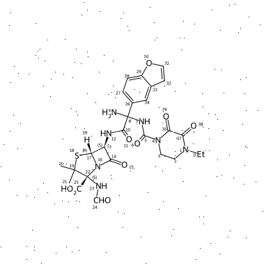 CCN1CCN(C(=O)NC(N)(C(=O)N[C@H]2C(=O)N3[C@@H]2SC(C)(C)[C@]3(NC=O)C(=O)O)c2ccc3occc3c2)C(=O)C1=O